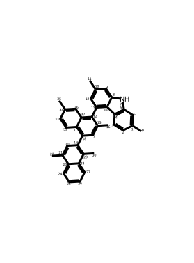 Cc1ccc2c(c1)[nH]c1cc(C)cc(-c3c(C)cc(-c4cc(C)c5ccccc5c4C)c4ccc(C)cc34)c12